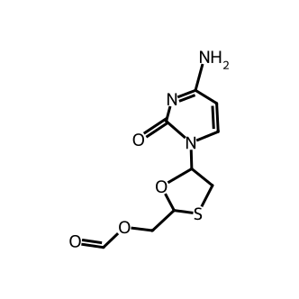 Nc1ccn(C2CSC(COC=O)O2)c(=O)n1